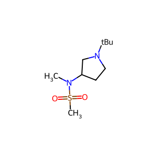 CN(C1CCN(C(C)(C)C)C1)S(C)(=O)=O